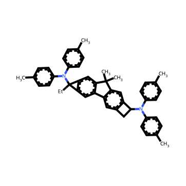 CCC1(N(c2ccc(C)cc2)c2ccc(C)cc2)c2cc3c(cc21)C(C)(C)c1cc2c(cc1-3)CC2N(c1ccc(C)cc1)c1ccc(C)cc1